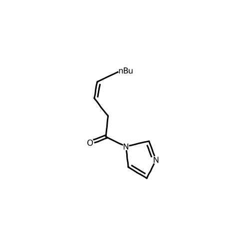 CCCC/C=C\CC(=O)n1ccnc1